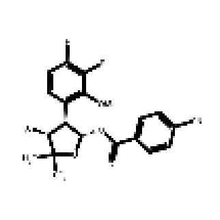 COc1c([C@H]2[C@H](OC(=O)c3ccc(C#N)cc3)O[C@@](C)(C(F)(F)F)[C@H]2C)ccc(F)c1F